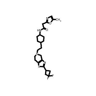 Cc1cnc(CC(=O)NC2CCC(CCN3CCc4sc(C5CC(F)(F)C5)nc4C3)CC2)o1